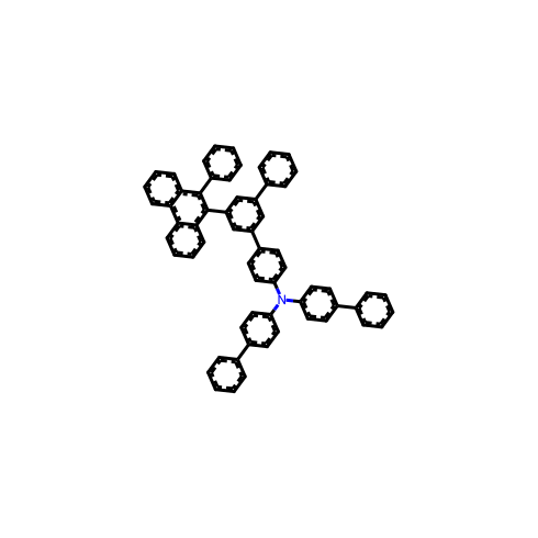 c1ccc(-c2ccc(N(c3ccc(-c4ccccc4)cc3)c3ccc(-c4cc(-c5ccccc5)cc(-c5c(-c6ccccc6)c6ccccc6c6ccccc56)c4)cc3)cc2)cc1